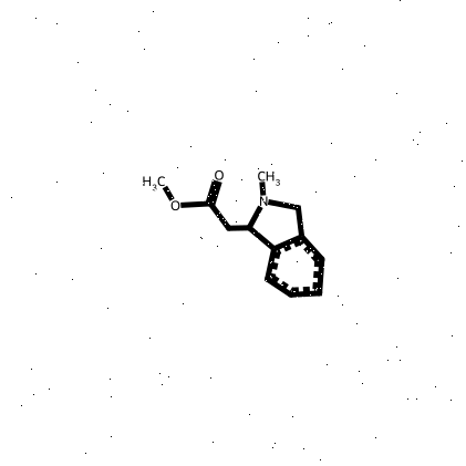 COC(=O)CC1c2ccccc2CN1C